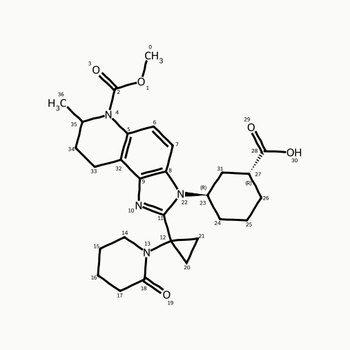 COC(=O)N1c2ccc3c(nc(C4(N5CCCCC5=O)CC4)n3[C@@H]3CCC[C@@H](C(=O)O)C3)c2CCC1C